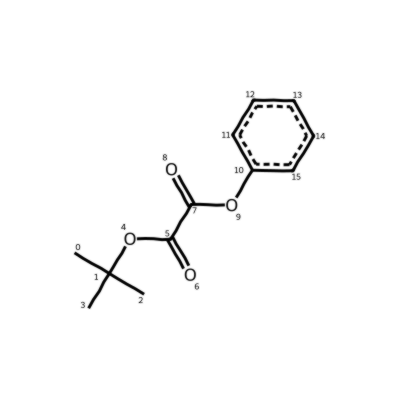 CC(C)(C)OC(=O)C(=O)Oc1ccccc1